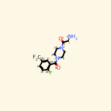 NCC(=O)N1CCN(C(=O)c2cc(C(F)(F)F)ccc2F)CC1